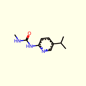 CNC(=O)Nc1ccc(C(C)C)cn1